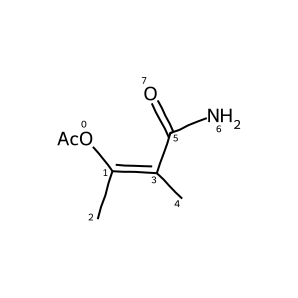 CC(=O)OC(C)=C(C)C(N)=O